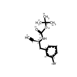 C#C[C@H](Cc1cccc(Br)c1)NC(=O)OC(C)(C)C